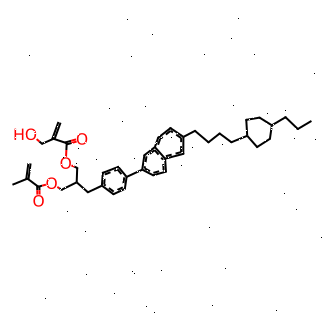 C=C(C)C(=O)OCC(COC(=O)C(=C)CO)Cc1ccc(-c2ccc3cc(CCCCC4CCC(CCC)CC4)ccc3c2)cc1